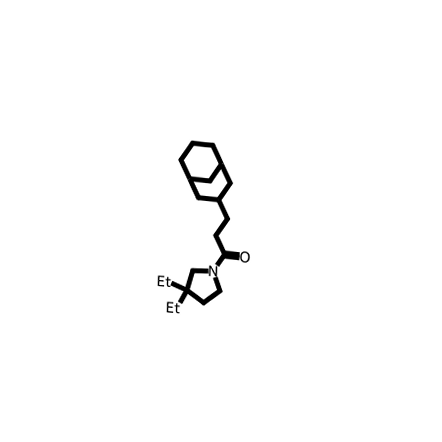 CCC1(CC)CCN(C(=O)CCC2CC3CCCC(C3)C2)C1